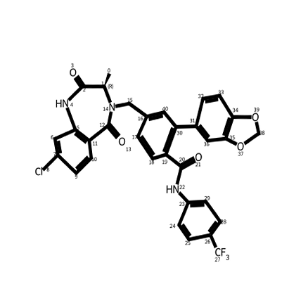 C[C@@H]1C(=O)Nc2cc(Cl)ccc2C(=O)N1Cc1ccc(C(=O)Nc2ccc(C(F)(F)F)cc2)c(-c2ccc3c(c2)OCO3)c1